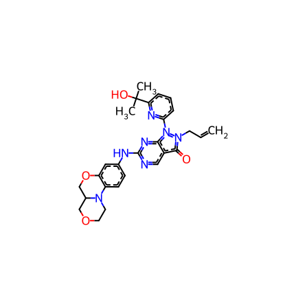 C=CCn1c(=O)c2cnc(Nc3ccc4c(c3)OCC3COCCN43)nc2n1-c1cccc(C(C)(C)O)n1